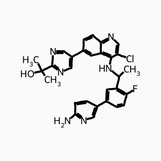 CC(Nc1c(Cl)cnc2ccc(-c3cnc(C(C)(C)O)nc3)cc12)c1cc(-c2ccc(N)nc2)ccc1F